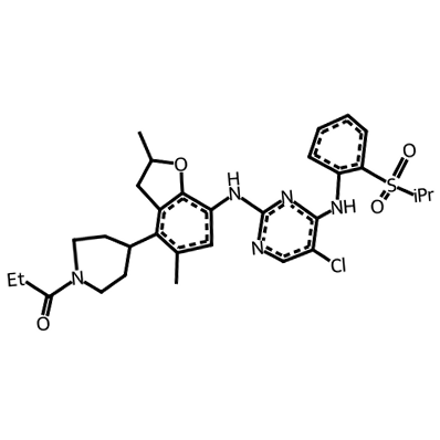 CCC(=O)N1CCC(c2c(C)cc(Nc3ncc(Cl)c(Nc4ccccc4S(=O)(=O)C(C)C)n3)c3c2CC(C)O3)CC1